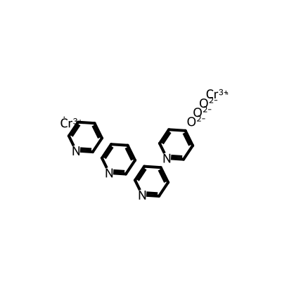 [Cr+3].[Cr+3].[O-2].[O-2].[O-2].c1ccncc1.c1ccncc1.c1ccncc1.c1ccncc1